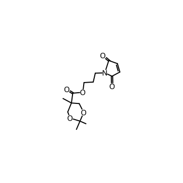 CC1(C)OCC(C)(C(=O)OCCCN2C(=O)C=CC2=O)CO1